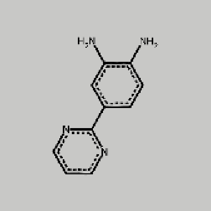 Nc1ccc(-c2ncccn2)cc1N